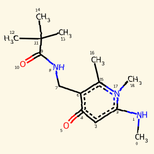 CNc1cc(=O)c(CNC(=O)C(C)(C)C)c(C)n1C